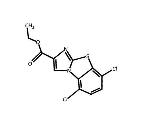 CCOC(=O)c1cn2c(n1)sc1c(Cl)ccc(Cl)c12